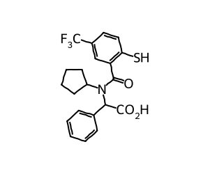 O=C(O)C(c1ccccc1)N(C(=O)c1cc(C(F)(F)F)ccc1S)C1CCCC1